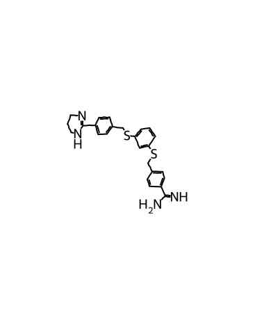 N=C(N)c1ccc(CSc2cccc(SCc3ccc(C4=NCCCN4)cc3)c2)cc1